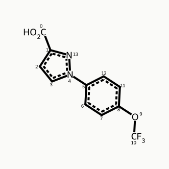 O=C(O)c1ccn(-c2ccc(OC(F)(F)F)cc2)n1